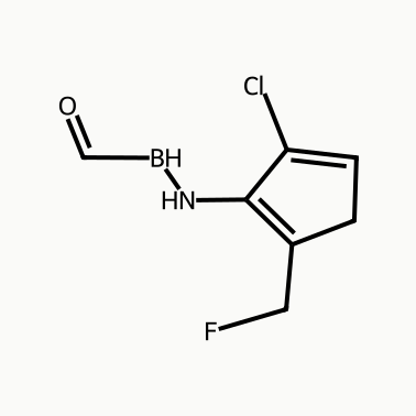 O=CBNC1=C(CF)CC=C1Cl